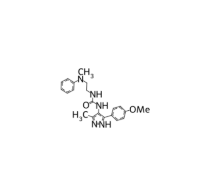 COc1ccc(-c2[nH]nc(C)c2NC(=O)NCCN(C)c2ccccc2)cc1